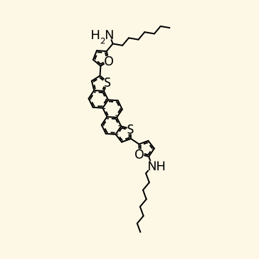 CCCCCCCCNc1ccc(-c2cc3ccc4c5ccc6cc(-c7ccc(C(N)CCCCCCC)o7)sc6c5ccc4c3s2)o1